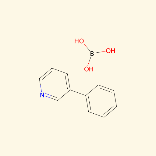 OB(O)O.c1ccc(-c2cccnc2)cc1